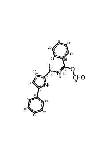 O=CO/C(=N/Nc1nc(-c2ccccc2)cs1)c1ccccc1